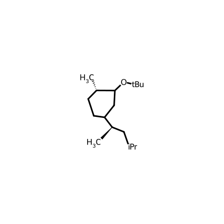 CC(C)C[C@@H](C)C1CC[C@H](C)C(OC(C)(C)C)C1